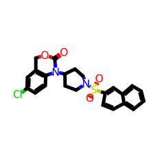 O=C1OCc2cc(Cl)ccc2N1C1CCN(S(=O)(=O)c2ccc3ccccc3c2)CC1